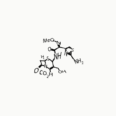 CO/N=C(\C(=O)NC1S[C@@H]2CC(=O)N2C(C(=O)O)=C1CO)c1csc(N)n1